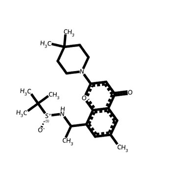 Cc1cc(C(C)N[S@+]([O-])C(C)(C)C)c2oc(N3CCC(C)(C)CC3)cc(=O)c2c1